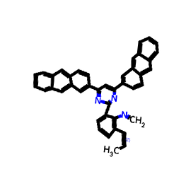 C=Nc1c(/C=C\C)cccc1-c1nc(-c2ccc3cc4ccccc4cc3c2)cc(-c2ccc3cc4ccccc4cc3c2)n1